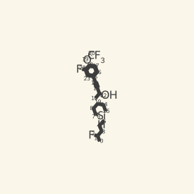 CC(F)CCC[Si@H]1CC[C@H](CC(O)C#Cc2ccc(OC(F)(F)F)c(F)c2)CC1